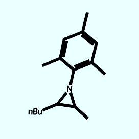 CCCCC1C(C)N1c1c(C)cc(C)cc1C